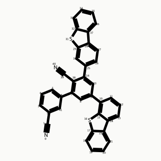 N#Cc1cccc(-c2cc(-c3cccc4c3sc3ccccc34)cc(-c3ccc4c(c3)sc3ccccc34)c2C#N)c1